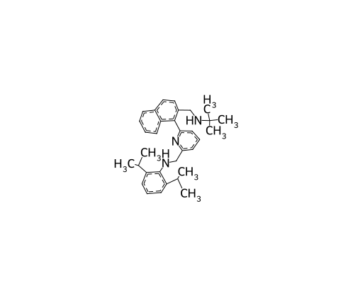 CC(C)c1cccc(C(C)C)c1NCc1cccc(-c2c(CNC(C)(C)C)ccc3ccccc23)n1